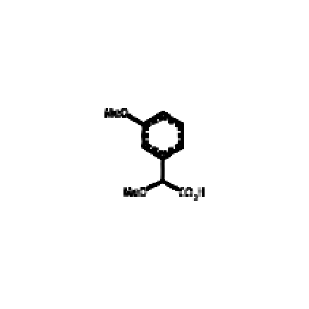 COc1cccc(C(OC)C(=O)O)c1